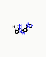 CC(Nc1ncnc2ccc(-c3cnc4cnccn34)cc12)c1ccccc1